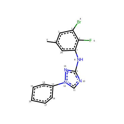 Cc1cc(Br)c(F)c(Nc2ncn(-c3ccccc3)n2)c1